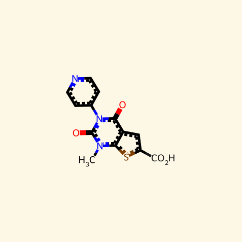 Cn1c(=O)n(-c2ccncc2)c(=O)c2cc(C(=O)O)sc21